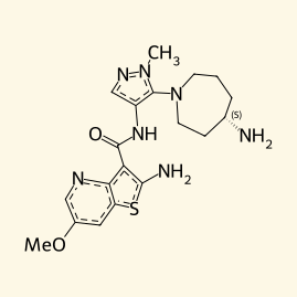 COc1cnc2c(C(=O)Nc3cnn(C)c3N3CCC[C@H](N)CC3)c(N)sc2c1